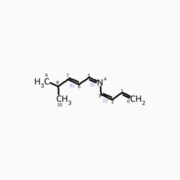 C=C\C=C/N=C\C=C\C(C)C